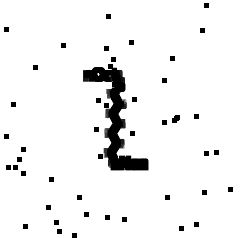 CCCCCCCCCCCCCCC[CH]SCCCCCCCC